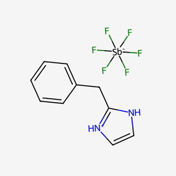 [F][Sb-]([F])([F])([F])([F])[F].c1ccc(Cc2[nH]cc[nH+]2)cc1